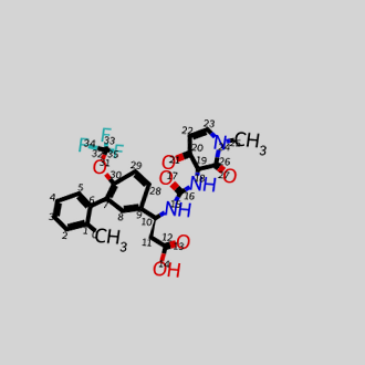 Cc1ccccc1-c1cc([C@H](CC(=O)O)NC(=O)NC2C(=O)C=CN(C)C2=O)ccc1OC(F)(F)F